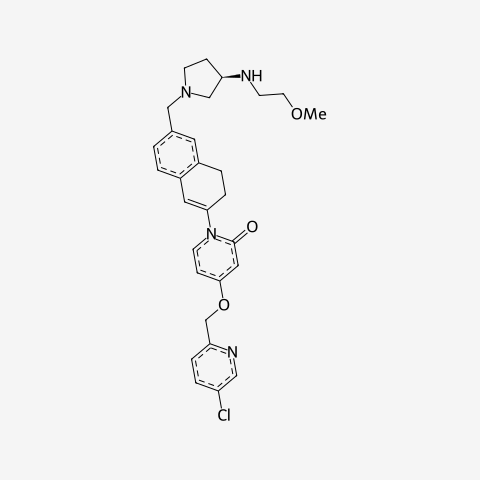 COCCN[C@@H]1CCN(Cc2ccc3c(c2)CCC(n2ccc(OCc4ccc(Cl)cn4)cc2=O)=C3)C1